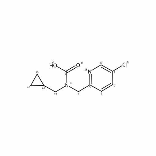 O=C(O)N(Cc1ccc(Cl)cn1)CC1CC1